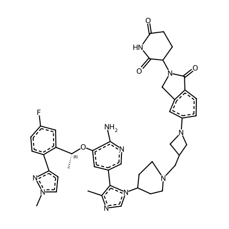 Cc1ncn(C2CCN(CC3CN(c4ccc5c(c4)CN(C4CCC(=O)NC4=O)C5=O)C3)CC2)c1-c1cnc(N)c(O[C@H](C)c2cc(F)ccc2-c2ccn(C)n2)c1